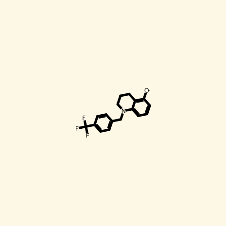 [O]c1cccc2c1CCCN2Cc1ccc(C(F)(F)F)cc1